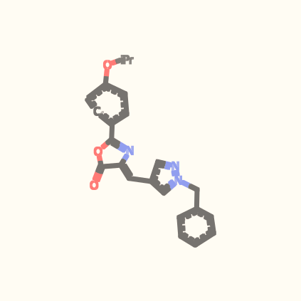 CC(C)Oc1ccc(C2=N/C(=C\c3cnn(Cc4ccccc4)c3)C(=O)O2)cc1